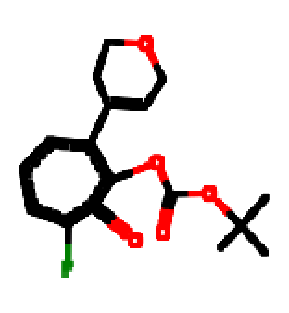 CC(C)(C)OC(=O)Oc1c(C2=CCOCC2)cccc(F)c1=O